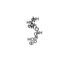 Cc1cc(Nc2nc(Sc3ccc(NC(=O)CN4C[C@H](OC5CCOC5)[C@@H](O)C4)cc3)nn3cccc23)n[nH]1